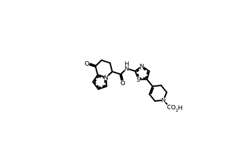 O=C1CCC(C(=O)Nc2ncc(C3=CCN(C(=O)O)CC3)s2)n2cccc21